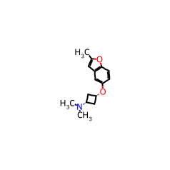 Cc1cc2cc(O[C@H]3C[C@@H](N(C)C)C3)ccc2o1